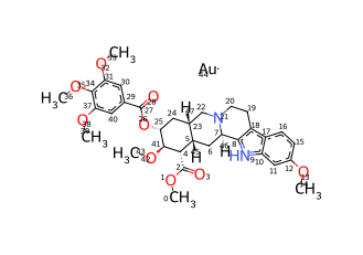 COC(=O)[C@H]1[C@H]2C[C@@H]3c4[nH]c5cc(OC)ccc5c4CCN3C[C@H]2C[C@@H](OC(=O)c2cc(OC)c(OC)c(OC)c2)[C@@H]1OC.[Au]